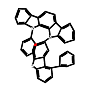 c1ccc(-c2cccc3sc4ccc(-n5c6ccccc6c6ccc7c8ccccc8n(-c8ccccc8)c7c65)cc4c23)cc1